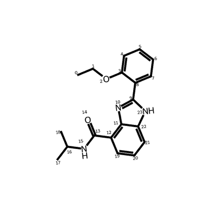 CCOc1ccccc1-c1nc2c(C(=O)NC(C)C)cccc2[nH]1